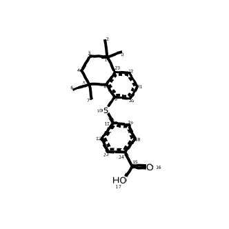 CC1(C)CCC(C)(C)c2c(Sc3ccc(C(=O)O)cc3)cccc21